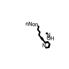 C=NO.CCCCCCCCCCCCCC#Cc1ccccn1